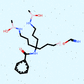 CB(O)NCCCC(CCCBOC=N)(CCCNB(C)O)NC(=O)c1ccccc1